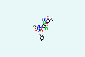 CC(C)c1cc(Oc2c(Cl)cc(-n3nc(Br)c(=O)n(COCc4ccccc4)c3=O)cc2Cl)n[nH]c1=O